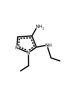 CCNc1c(N)cnn1CC